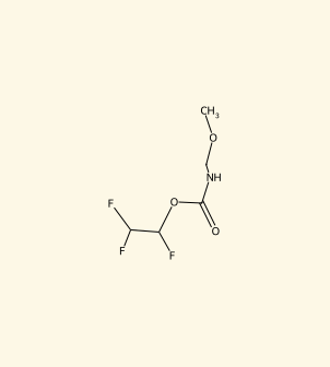 COCNC(=O)OC(F)C(F)F